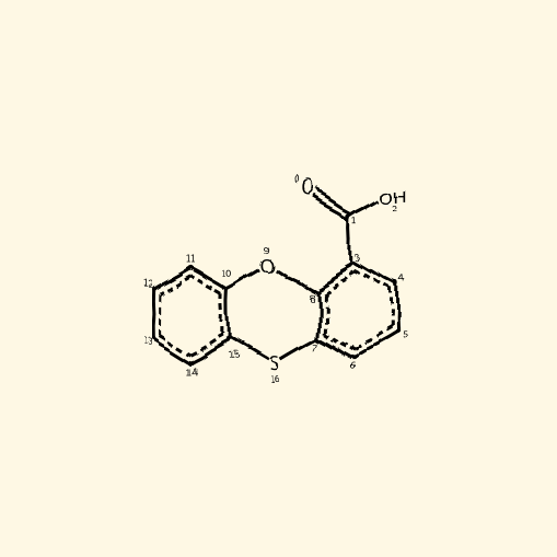 O=C(O)c1cccc2c1Oc1ccccc1S2